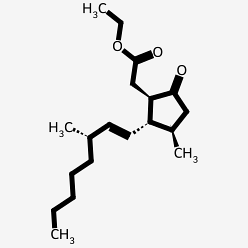 CCCCC[C@H](C)/C=C/[C@H]1[C@H](C)CC(=O)[C@@H]1CC(=O)OCC